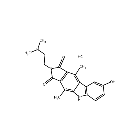 Cc1c2c(c(C)c3c1[nH]c1ccc(O)cc13)C(=O)N(CCN(C)C)C2=O.Cl